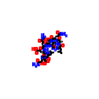 CC(C)C[C@H](NC(=O)[C@H](CCC(=O)O)NC(=O)[C@H](CCC(N)=O)NC(=O)[C@H](CO)NC(=O)[C@H](C)NC(=O)[C@H](CCC(N)=O)NC(=O)[C@H](C)NC(=O)[C@@H](N)CC(C)C)C(=O)N[C@@H](CCC(N)=O)C(=O)O